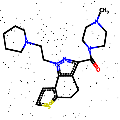 CN1CCN(C(=O)c2nn(CCN3CCCCC3)c3c2CCc2sccc2-3)CC1